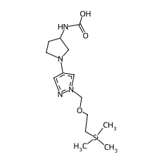 C[Si](C)(C)CCOCn1cc(N2CCC(NC(=O)O)C2)cn1